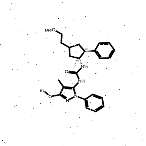 CCOc1nn(-c2ccccc2)c(NC(=O)N[C@@H]2CC(CCOC)C[C@H]2c2ccccc2)c1C